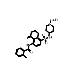 CCOC(=O)N1CCC(NS(=O)(=O)c2ccc(NC(=O)c3ccccc3C)c3c2CCCC3=O)CC1